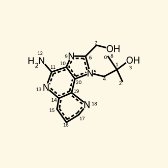 CC(C)(O)Cn1c(CO)nc2c(N)nc3cccnc3c21